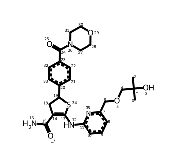 CC(C)(O)COCc1cccc(NC2=C(C(N)=O)CC(c3ccc(C(=O)N4CCOCC4)cc3)S2)n1